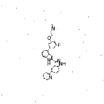 CN(C)CCOc1cc(F)cc(-c2cccc3[nH]c(-c4n[nH]c5ccc(-c6ccccn6)cc45)cc23)c1